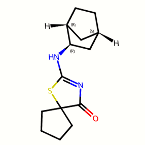 O=C1N=C(N[C@@H]2C[C@H]3CC[C@@H]2C3)SC12CCCC2